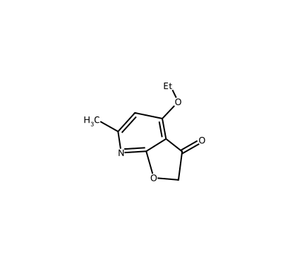 CCOc1cc(C)nc2c1C(=O)CO2